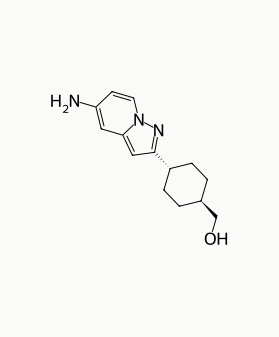 Nc1ccn2nc([C@H]3CC[C@H](CO)CC3)cc2c1